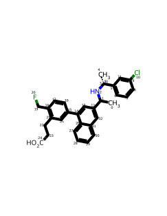 CC(N[C@H](C)c1cccc(Cl)c1)c1cc(-c2ccc(CF)c(CCC(=O)O)c2)c2ccccc2c1